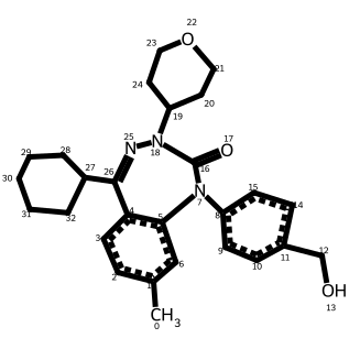 Cc1ccc2c(c1)N(c1ccc(CO)cc1)C(=O)N(C1CCOCC1)N=C2C1CCCCC1